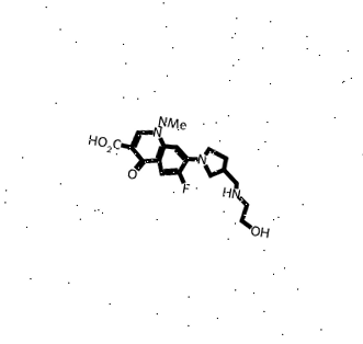 CNn1cc(C(=O)O)c(=O)c2cc(F)c(N3CCC(CNCCO)C3)cc21